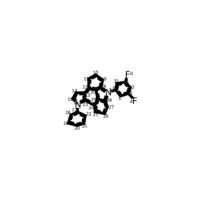 Fc1cc(F)cc(-n2c3cccc4c5ccn(-c6ccccc6)c5c5cccc2c5c43)c1